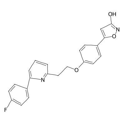 Oc1cc(-c2ccc(OCCc3cccc(-c4ccc(F)cc4)n3)cc2)on1